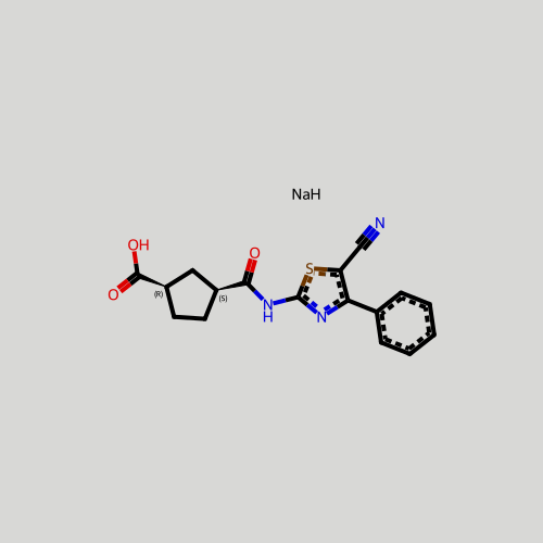 N#Cc1sc(NC(=O)[C@H]2CC[C@@H](C(=O)O)C2)nc1-c1ccccc1.[NaH]